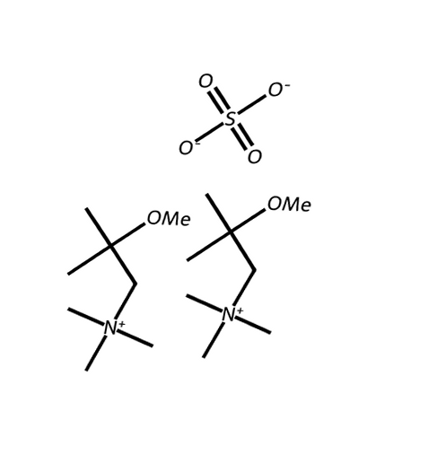 COC(C)(C)C[N+](C)(C)C.COC(C)(C)C[N+](C)(C)C.O=S(=O)([O-])[O-]